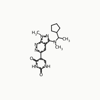 CC(C1CCCC1)N(C)c1nn(C)c2nnc(-c3c[nH]c(=O)[nH]c3=O)cc12